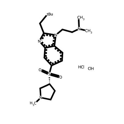 CN(C)CCn1c(CC(C)(C)C)nc2cc(S(=O)(=O)[C@@H]3CCN(C)C3)ccc21.Cl.Cl